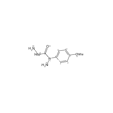 COc1ccc(N(N)C(=O)NN)cc1